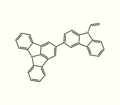 C=Cn1c2ccccc2c2cc(-c3cc4c5ccccc5n5c6ccccc6c(c3)c45)ccc21